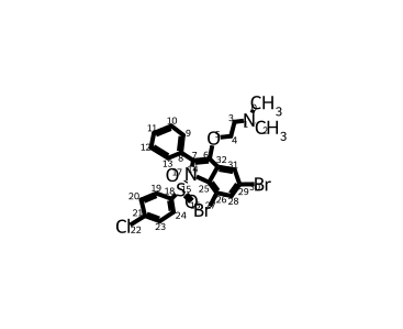 CN(C)CCOc1c(-c2ccccc2)n(S(=O)(=O)c2ccc(Cl)cc2)c2c(Br)cc(Br)cc12